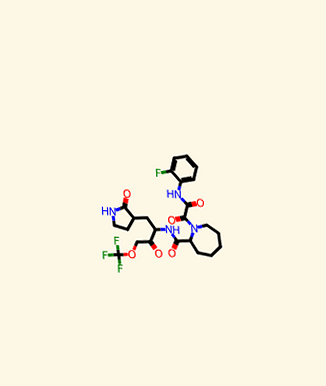 O=C(Nc1ccccc1F)C(=O)N1CCCCCC1C(=O)NC(CC1CCNC1=O)C(=O)COC(F)(F)F